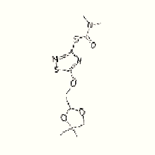 CN(C)C(=O)Sc1nsc(OCC2OCC(C)(C)O2)n1